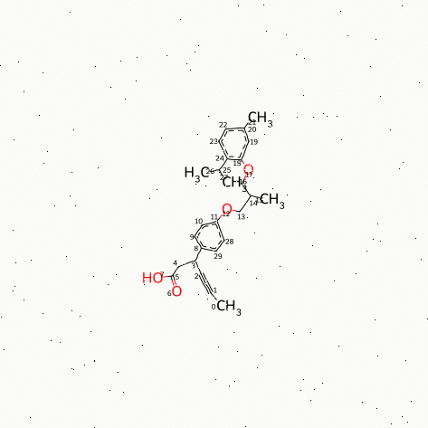 CC#CC(CC(=O)O)c1ccc(OCC(C)COc2cc(C)ccc2C(C)C)cc1